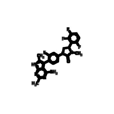 Cc1nc(N)c2c(-c3ccc(N4CC(c5c(F)ccc(F)c5F)N(C)C4=O)cc3F)c(C)[nH]c2n1